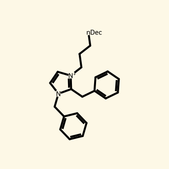 CCCCCCCCCCCCC[n+]1ccn(Cc2ccccc2)c1Cc1ccccc1